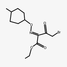 CCOC(=O)/C(=N/OC1CCC(C)CC1)C(=O)CBr